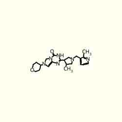 Cc1ncccc1CN1CC(C)C(C2=NC3=CN(C4CCOCC4)CN3C(=O)N2)C1